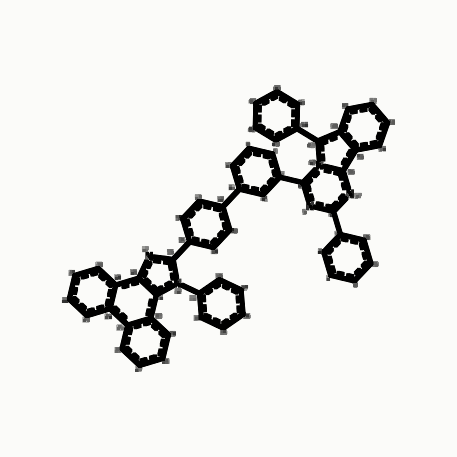 c1ccc(-c2nc(-c3cccc(-c4ccc(-c5nc6c7ccccc7c7ccccc7c6n5-c5ccccc5)cc4)c3)n3c(-c4ccccc4)c4ccccc4c3n2)cc1